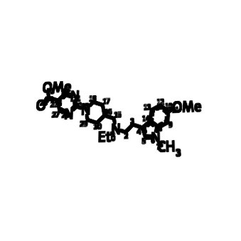 CCN(CCc1cn(C)c2cc(OC)ccc12)CC1CCN(c2ncc(C(=O)OC)cn2)CC1